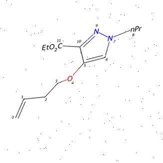 C=CCCOc1cn(CCC)nc1C(=O)OCC